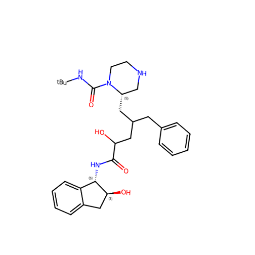 CC(C)(C)NC(=O)N1CCNC[C@@H]1CC(Cc1ccccc1)CC(O)C(=O)N[C@H]1c2ccccc2C[C@@H]1O